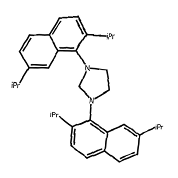 CC(C)c1ccc2ccc(C(C)C)c(N3CCN(c4c(C(C)C)ccc5ccc(C(C)C)cc45)C3)c2c1